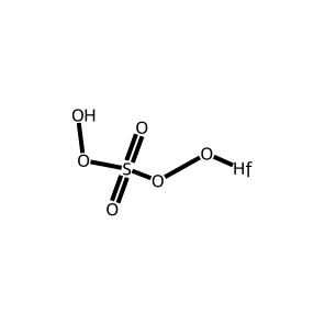 O=S(=O)(OO)O[O][Hf]